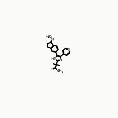 CC(C)(C(N)=O)c1nc(-c2ccncc2)c(-c2ccc3c(c2)CCC3=NO)[nH]1